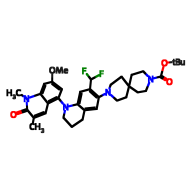 COc1cc(N2CCCc3cc(N4CCC5(CCN(C(=O)OC(C)(C)C)CC5)CC4)c(C(F)F)cc32)c2cc(C)c(=O)n(C)c2c1